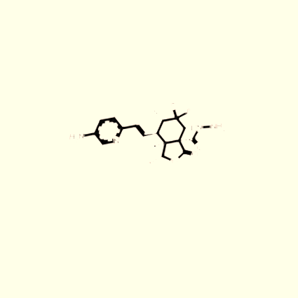 C[C@H]1OC(=O)[C@]2(C(=O)NN)CC(F)(F)[C@@H](C)[C@H](/C=C/c3ccc(N)cn3)[C@H]12